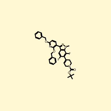 Cn1nc(-c2ccc(OCc3ccccc3)nc2OCc2ccccc2)c2cc(F)c(C3=CCN(C(=O)OC(C)(C)C)CC3)c(F)c21